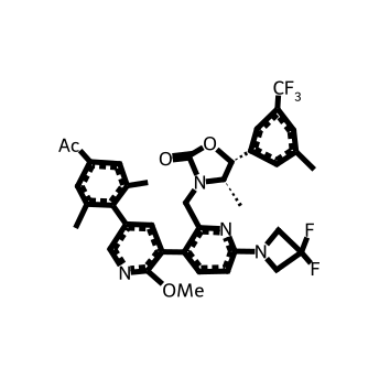 COc1ncc(-c2c(C)cc(C(C)=O)cc2C)cc1-c1ccc(N2CC(F)(F)C2)nc1CN1C(=O)O[C@H](c2cc(C)cc(C(F)(F)F)c2)[C@@H]1C